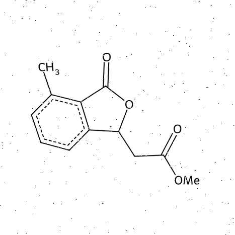 COC(=O)CC1OC(=O)c2c(C)cccc21